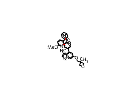 COc1ccc(C(=O)N2C3CC2CN(c2ccc(-c4cc(OCC5(C)COC5)cn5ncc(C#N)c45)cn2)C3)cn1